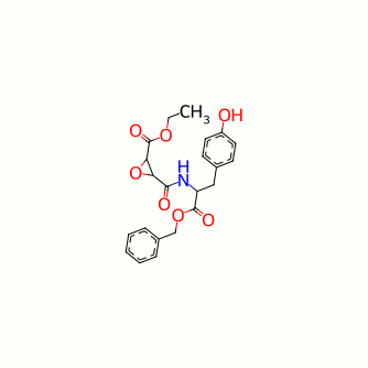 CCOC(=O)C1OC1C(=O)NC(Cc1ccc(O)cc1)C(=O)OCc1ccccc1